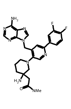 CNC(=O)CC1(N)CCCN(c2cnc(-c3ccc(F)c(F)c3)cc2Cn2cnc3c(N)ncnc32)C1